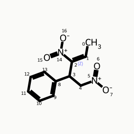 C/C=C(/C(C[N+](=O)[O-])c1ccccc1)[N+](=O)[O-]